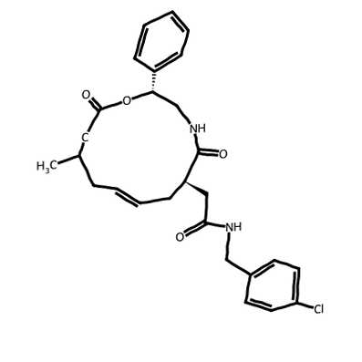 CC1C/C=C/C[C@H](CC(=O)NCc2ccc(Cl)cc2)C(=O)NC[C@@H](c2ccccc2)OC(=O)C1